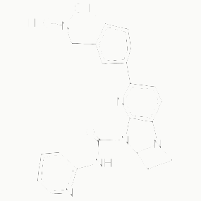 CN(C)Cc1cccc(-c2ccc3c(n2)N(C(=O)Nc2ccccn2)C2CCN32)c1